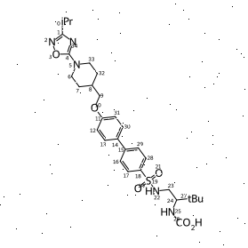 CC(C)c1noc(N2CCC(COc3ccc(-c4ccc(S(=O)(=O)NCC(NC(=O)O)C(C)(C)C)cc4)cc3)CC2)n1